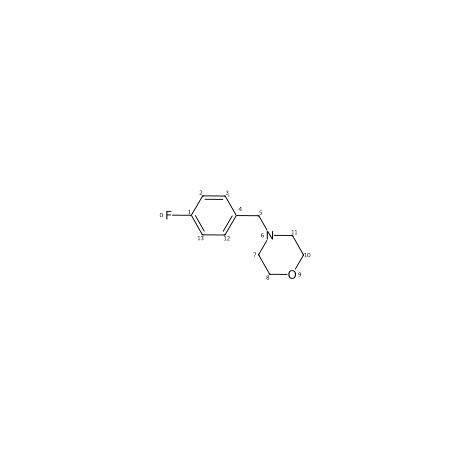 Fc1c[c]c(CN2CCOCC2)cc1